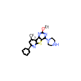 CCOc1nc(N2CCNCC2)c2sc3nc(-c4ccccc4)cc(C(F)(F)F)c3c2n1